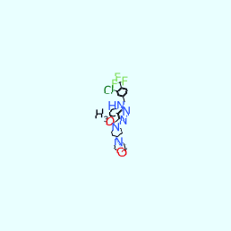 Cc1c(NCc2ccc(C(F)(F)F)c(Cl)c2)ncnc1C(=O)N1CCC(N2CCOCC2)CC1